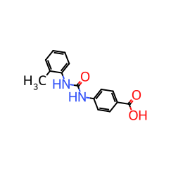 Cc1ccccc1NC(=O)Nc1ccc(C(=O)O)cc1